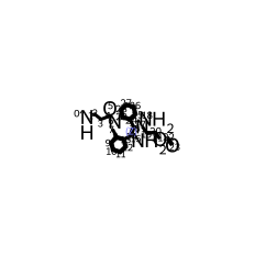 CNCCC(=O)N1Cc2ccccc2/C(N)=C(/N(N)CCOC=O)c2ccccc21